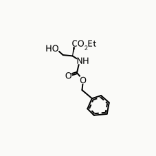 CCOC(=O)[C@H](CO)NC(=O)OCc1ccccc1